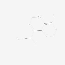 CC(=O)OC(C)C1=CCNc2c(F)cccc21